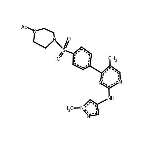 CC(=O)N1CCN(S(=O)(=O)c2ccc(-c3nc(Nc4cnn(C)c4)ncc3C)cc2)CC1